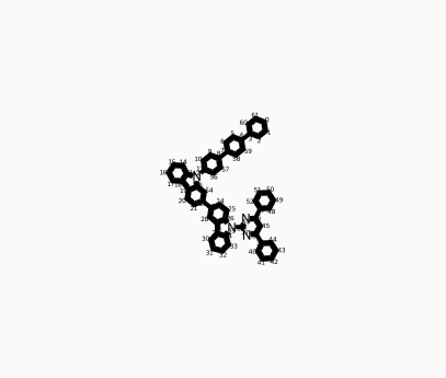 c1ccc(-c2ccc(-c3ccc(-n4c5ccccc5c5ccc(-c6ccc7c(c6)c6ccccc6n7-c6nc(-c7ccccc7)cc(-c7ccccc7)n6)cc54)cc3)cc2)cc1